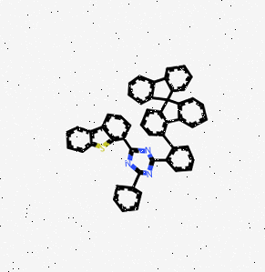 c1ccc(-c2nc(-c3ccccc3-c3cccc4c3-c3ccccc3C43c4ccccc4-c4ccccc43)nc(-c3cccc4c3sc3ccccc34)n2)cc1